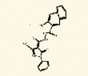 CC1=NN(c2ccccc2)C(=O)/C1=C(/C)NNC(=O)c1cc2ccccc2cc1O